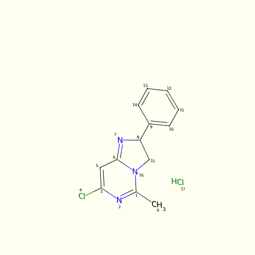 CC1=NC(Cl)=CC2=NC(c3ccccc3)CN12.Cl